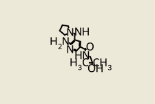 CC(C)(O)CNC(=O)c1cnc(N)c(C(=N)N2CCCC2)c1